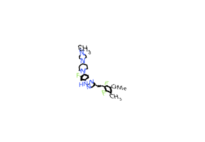 COc1cc(C)c(F)c(C#Cc2cnc(Nc3ccc(N4CCC(N5CCN(C)CC5)CC4)c(F)c3)nc2)c1F